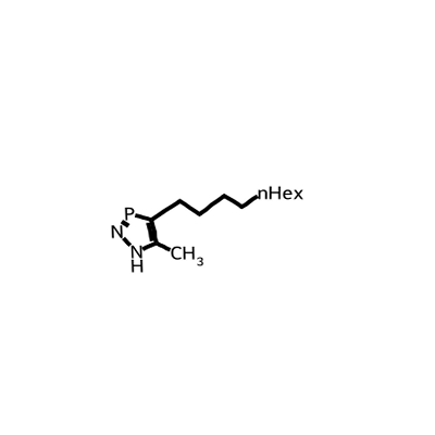 CCCCCCCCCCc1pn[nH]c1C